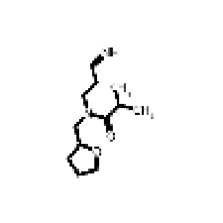 CC(C)C(=O)N(CCC=N)CC1CCCO1